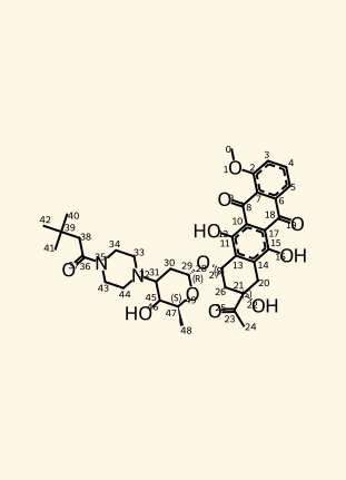 COc1cccc2c1C(=O)c1c(O)c3c(c(O)c1C2=O)C[C@@](O)(C(C)=O)C[C@@H]3O[C@H]1CC(N2CCN(C(=O)CC(C)(C)C)CC2)C(O)[C@H](C)O1